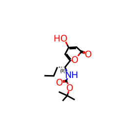 CCC[C@@H](NC(=O)OC(C)(C)C)c1cc(O)cc(=O)o1